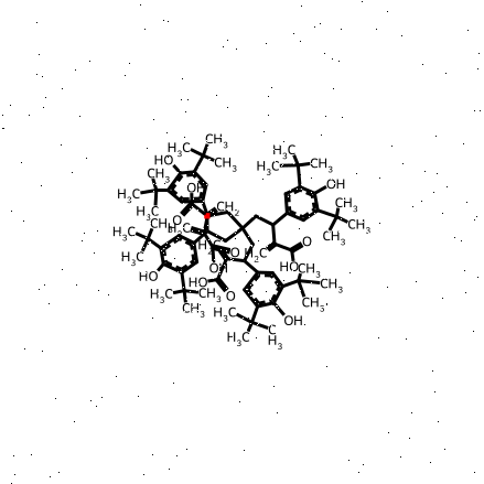 C=C(C(=O)O)C(CC(CC(C(=C)C(=O)O)c1cc(C(C)(C)C)c(O)c(C(C)(C)C)c1)(CC(C(=C)C(=O)O)c1cc(C(C)(C)C)c(O)c(C(C)(C)C)c1)CC(C(=C)C(=O)O)c1cc(C(C)(C)C)c(O)c(C(C)(C)C)c1)c1cc(C(C)(C)C)c(O)c(C(C)(C)C)c1